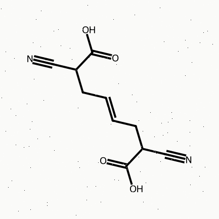 N#CC(C/C=C/CC(C#N)C(=O)O)C(=O)O